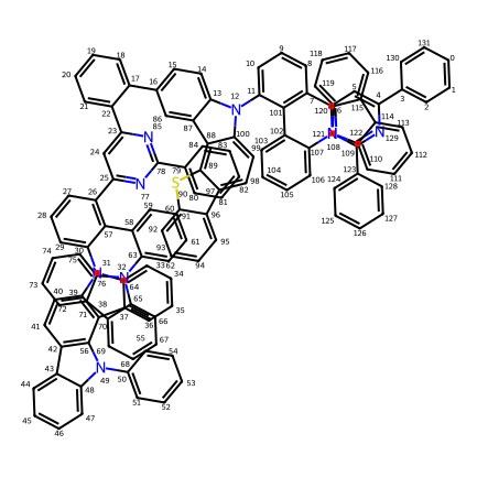 c1ccc(-c2cc(-c3cccc(-n4c5ccc(-c6ccccc6-c6cc(-c7cccc(-n8c9ccccc9c9c8ccc8c%10ccccc%10n(-c%10ccccc%10)c89)c7-c7ccccc7-n7c8ccccc8c8ccccc87)nc(-c7ccccc7)n6)cc5c5c6sc7ccccc7c6ccc54)c3-c3ccccc3-n3c4ccccc4c4ccccc43)nc(-c3ccccc3)n2)cc1